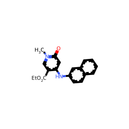 CCOC(=O)c1cn(C)c(=O)cc1Nc1ccc2ccccc2c1